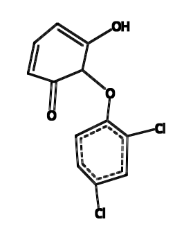 O=C1C=CC=C(O)C1Oc1ccc(Cl)cc1Cl